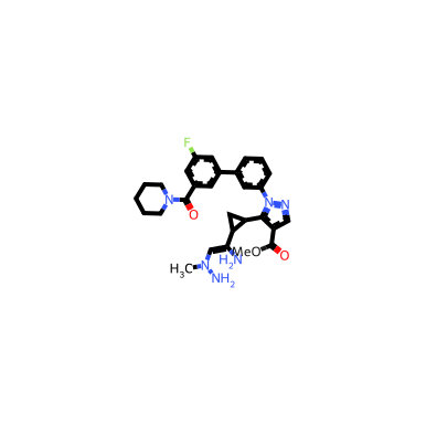 COC(=O)c1cnn(-c2cccc(-c3cc(F)cc(C(=O)N4CCCCC4)c3)c2)c1C1CC1/C(N)=C/N(C)N